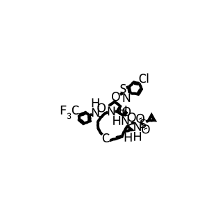 O=C1N[C@]2(C(=O)NS(=O)(=O)C3CC3)C[C@H]2/C=C\CCCCC[C@H](Nc2cccc(C(F)(F)F)c2)C(=O)N2C[C@H](Oc3nc4ccc(Cl)cc4s3)C[C@@H]12